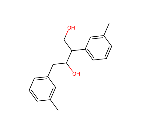 Cc1cccc(CC(O)C(CO)c2cccc(C)c2)c1